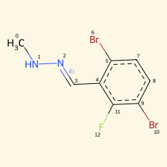 CN/N=C/c1c(Br)ccc(Br)c1F